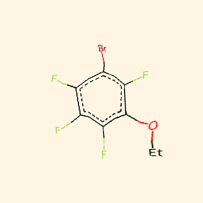 CCOc1c(F)c(F)c(F)c(Br)c1F